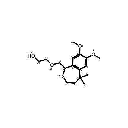 COc1cc2c(cc1OC)C(C)(C)CCSC2COCCO